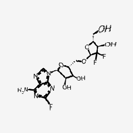 Nc1nc(F)nc2c1ncn2[C@H]1O[C@H](COC2O[C@H](CO)[C@@H](O)C2(F)F)[C@@H](O)[C@H]1O